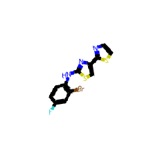 Fc1ccc(Nc2nc(-c3nccs3)cs2)c(Br)c1